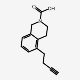 C#CCCc1cccc2c1CCN(C(=O)O)C2